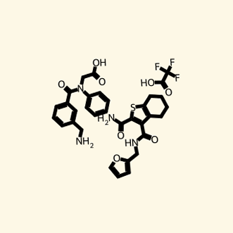 NC(=O)c1sc2c(c1C(=O)NCc1ccco1)CCCC2.NCc1cccc(C(=O)N(CC(=O)O)c2ccccc2)c1.O=C(O)C(F)(F)F